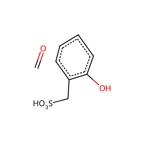 C=O.O=S(=O)(O)Cc1ccccc1O